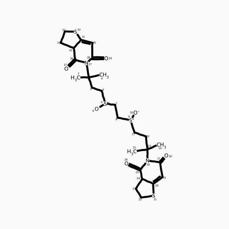 CC(C)(CC[S+]([O-])CC[S+]([O-])CCC(C)(C)N1C(=O)C=C2SCCC2C1=O)N1C(=O)C=C2SCCC2C1=O